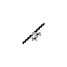 CCCCCCCCCSSCCCCCCCCC.CN(C)C(=S)SSC(=S)N(C)C